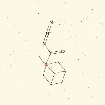 CN1CC2CC(C1)C2CC(=O)N=[N+]=[N-]